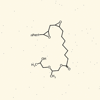 CCCCCC1OC1CC1OC1CCCCCCCC(=O)OCC(C)OCC(C)O